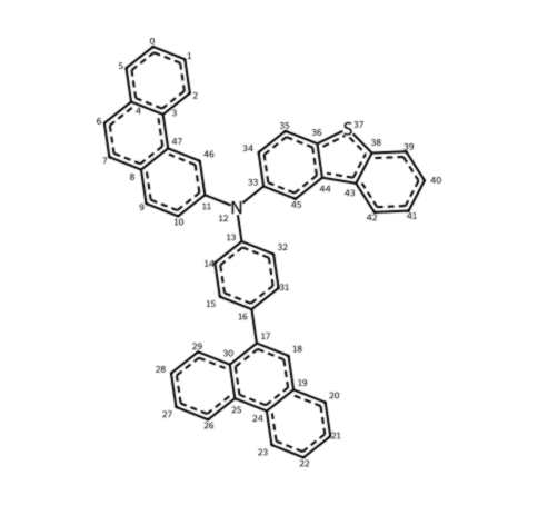 c1ccc2c(c1)ccc1ccc(N(c3ccc(-c4cc5ccccc5c5ccccc45)cc3)c3ccc4sc5ccccc5c4c3)cc12